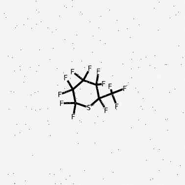 FC(F)(F)C1(F)SC(F)(F)C(F)(F)C(F)(F)C1(F)F